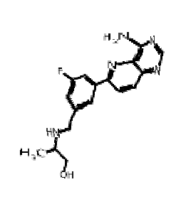 CC(CO)NCc1cc(F)cc(-c2ccc3ncnc(N)c3n2)c1